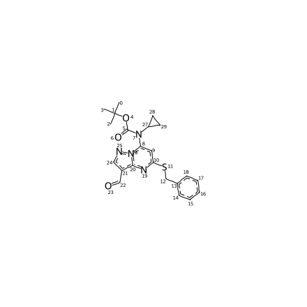 CC(C)(C)OC(=O)N(c1cc(SCc2ccccc2)nc2c(C=O)cnn12)C1CC1